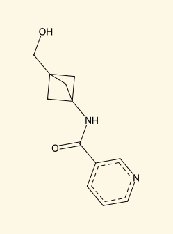 O=C(NC12CC(CO)(C1)C2)c1cccnc1